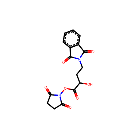 O=C(ON1C(=O)CCC1=O)C(O)CCN1C(=O)c2ccccc2C1=O